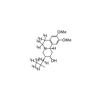 [2H]C([2H])([2H])C([2H])(C)C([2H])([2H])[C@H]1CN2[C@@H](C[C@H]1O)c1cc(OC)c(OC)cc1C([2H])([2H])C2([2H])[2H]